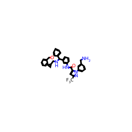 NCc1cccc(-n2nc(C(F)(F)F)cc2C(=O)Nc2cccc(C(NCC3CC3)c3ccccc3OCc3ccccc3)c2)c1